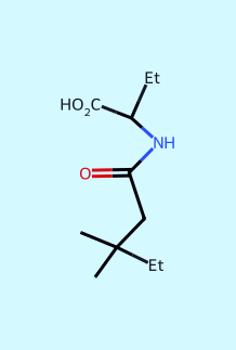 CCC(NC(=O)CC(C)(C)CC)C(=O)O